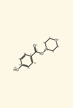 O=C(ON1CCOCC1)c1ccc(O)cc1